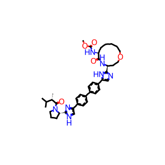 COC(=O)N[C@H]1CCCCCOCC[C@@H](c2ncc(-c3ccc(-c4ccc(-c5c[nH]c([C@@H]6CCCN6C(=O)[C@@H](C)C(C)C)n5)cc4)cc3)[nH]2)NC1=O